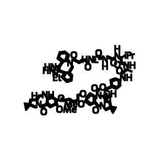 CCN1NNC2=C1c1ccccc1CN(C(=O)CCC(=O)NCC(=O)NCC(=O)N[C@H](C(=O)N[C@@H](C)C(=O)Nc1ccc(COC(=O)N3c4cc(OCCCCCOc5cc6c(cc5OC)C(=O)N5CC7(CC7)C[C@H]5CN6)c(OC)cc4C(=O)N4CC5(CC5)C[C@H]4C3O)cc1)C(C)C)c1ccccc12